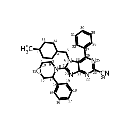 CC1CCC(Cn2c(N3CCOCC3c3ccccc3)nc3nc(C#N)nc(-c4ccccc4)c32)CC1